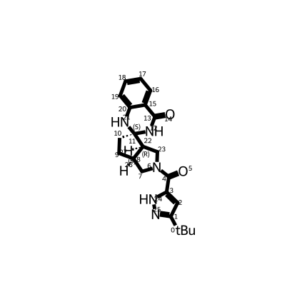 CC(C)(C)c1cc(C(=O)N2C[C@H]3CC[C@]4(NC(=O)c5ccccc5N4)[C@H]3C2)[nH]n1